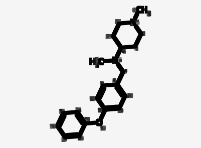 CN1CCC(N(C)Cc2ccc(Oc3ccccc3)cc2)CC1